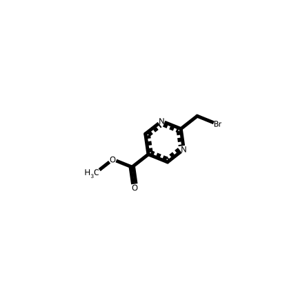 COC(=O)c1cnc(CBr)nc1